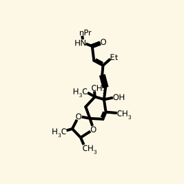 CCCNC(=O)C=C(C#CC1(O)C(C)=CC2(CC1(C)C)OC(C)C(C)O2)CC